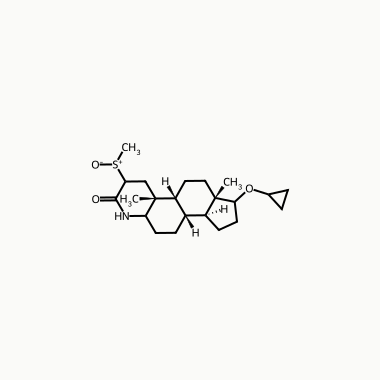 C[S+]([O-])C1C[C@@]2(C)C(CC[C@@H]3[C@H]2CC[C@]2(C)C(OC4CC4)CC[C@@H]32)NC1=O